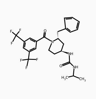 CC(C)NC(=O)N[C@H]1CCN(C(=O)c2cc(C(F)(F)F)cc(C(F)(F)F)c2)[C@H](Cc2ccccc2)C1